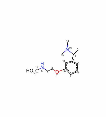 CC(c1cccc(OCCNC(=O)O)c1)N(C)C